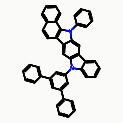 c1ccc(-c2cc(-c3ccccc3)cc(-n3c4ccccc4c4cc5c(cc43)c3ccc4ccccc4c3n5-c3ccccc3)c2)cc1